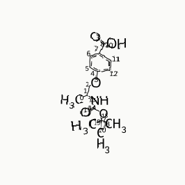 CC(COc1ccc(C(=O)O)cc1)NC(=O)OC(C)(C)C